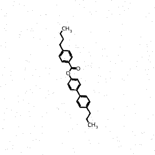 CCCCc1ccc(C(=O)Oc2ccc(-c3ccc(CCC)cc3)cc2)cc1